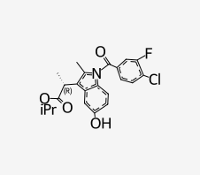 Cc1c([C@@H](C)C(=O)OC(C)C)c2cc(O)ccc2n1C(=O)c1ccc(Cl)c(F)c1